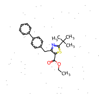 CCOC(=O)c1sc(C(C)(C)C)nc1Cc1ccc(-c2ccccc2)cc1